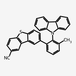 Cc1cccc(-c2ccc3sc4ccc(C#N)cc4c3c2)c1-n1c2ccccc2c2ccccc21